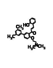 Cc1cc(C)cc(-c2ccc(OCCN(C)C)c(C(=O)C=Cc3ccccc3O)c2)c1